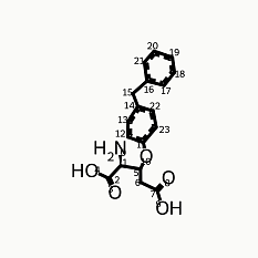 N[C@H](C(=O)O)C(CC(=O)O)Oc1ccc(Cc2ccccc2)cc1